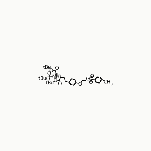 Cc1ccc(S(=O)(=O)OCCOc2ccc(CCC(C[C@H](NC(=O)OC(C)(C)C)C(=O)OC(C)(C)C)C(=O)OC(C)(C)C)cc2)cc1